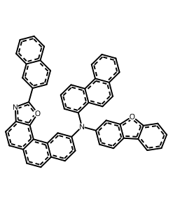 c1ccc2cc(-c3nc4ccc5ccc6ccc(N(c7ccc8c(c7)oc7ccccc78)c7cccc8c7ccc7ccccc78)cc6c5c4o3)ccc2c1